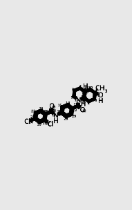 C[C@]1(O)CC[C@H]2[C@@H](CCCN2C(=O)c2ccc(NC(=O)c3ccc(Cl)cc3Cl)cc2)C1